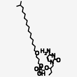 CCC(Cn1ccc(N)nc1=O)OCP(=O)(O)OCCCOCCCCCCCCCCCCCCC(C)C